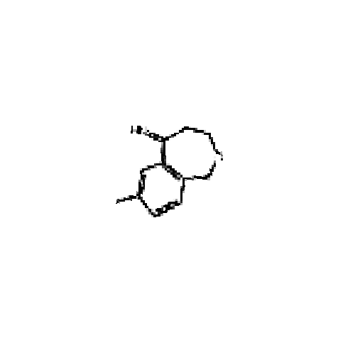 Cc1ccc2c(c1)C(=N)CCOC2